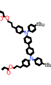 C=CC(=O)OCCCc1ccc(N(c2ccc(-c3ccc(N(c4ccc(CCCOC(=O)C=C)cc4)c4ccc(C(C)(C)C)cc4)cc3)cc2)c2ccc(C(C)(C)C)cc2)cc1